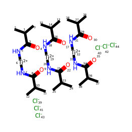 CC(C)C(=O)[NH][Ti+2][NH]C(=O)C(C)C.CC(C)C(=O)[NH][Ti+2][NH]C(=O)C(C)C.CC(C)C(=O)[NH][Ti+2][NH]C(=O)C(C)C.[Cl-].[Cl-].[Cl-].[Cl-].[Cl-].[Cl-]